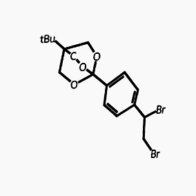 CC(C)(C)C12COC(c3ccc(C(Br)CBr)cc3)(OC1)OC2